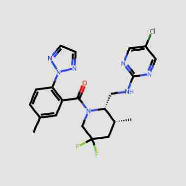 Cc1ccc(-n2nccn2)c(C(=O)N2CC(F)(F)C[C@@H](C)[C@H]2CNc2ncc(Cl)cn2)c1